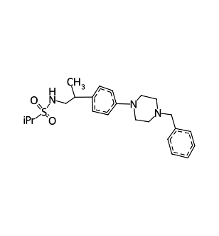 CC(CNS(=O)(=O)C(C)C)c1ccc(N2CCN(Cc3ccccc3)CC2)cc1